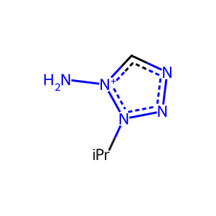 CC(C)n1nnc[n+]1N